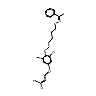 CC(=NOCCCCCOc1c(C)cc(OCC=C(Cl)Cl)cc1Cl)c1ccccc1